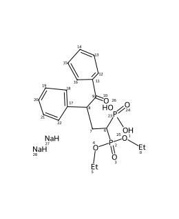 CCOP(=O)(OCC)C(CC(C(=O)c1ccccc1)c1ccccc1)P(=O)(O)O.[NaH].[NaH]